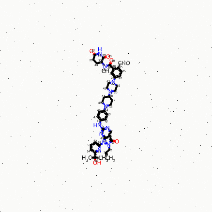 C=CCn1c(=O)c2cnc(Nc3ccc(N4CCC(N5CCN(c6ccc(C=O)c(C(=O)N(C)C7CCC(=O)NC7=O)c6)CC5)CC4)cc3)nc2n1-c1cccc(C(C)(C)O)n1